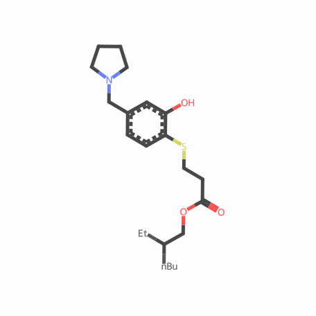 CCCCC(CC)COC(=O)CCSc1ccc(CN2CCCC2)cc1O